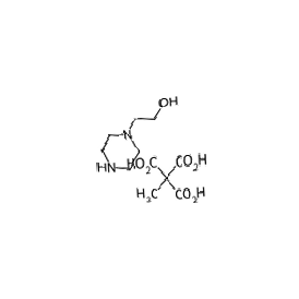 CC(C(=O)O)(C(=O)O)C(=O)O.OCCN1CCNCC1